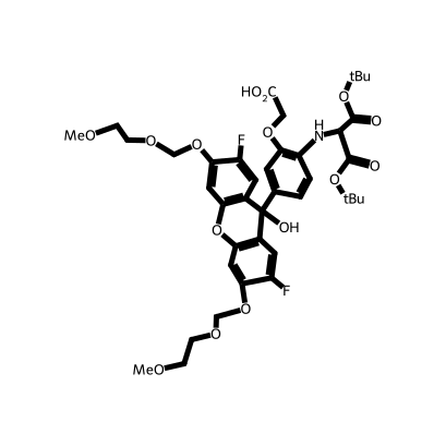 COCCOCOc1cc2c(cc1F)C(O)(c1ccc(NC(C(=O)OC(C)(C)C)C(=O)OC(C)(C)C)c(OCC(=O)O)c1)c1cc(F)c(OCOCCOC)cc1O2